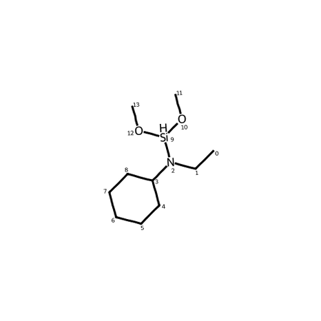 CCN(C1CCCCC1)[SiH](OC)OC